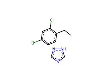 CCc1ccc(Cl)cc1Cl.c1nc[nH]n1